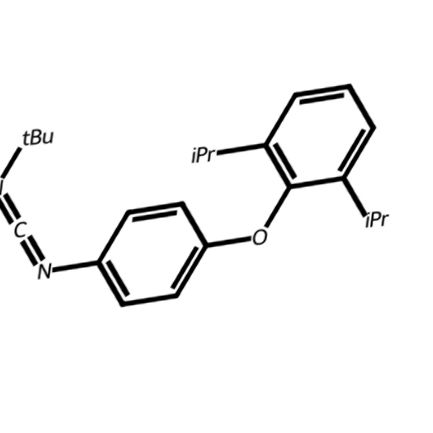 CC(C)c1cccc(C(C)C)c1Oc1ccc(N=C=NC(C)(C)C)cc1